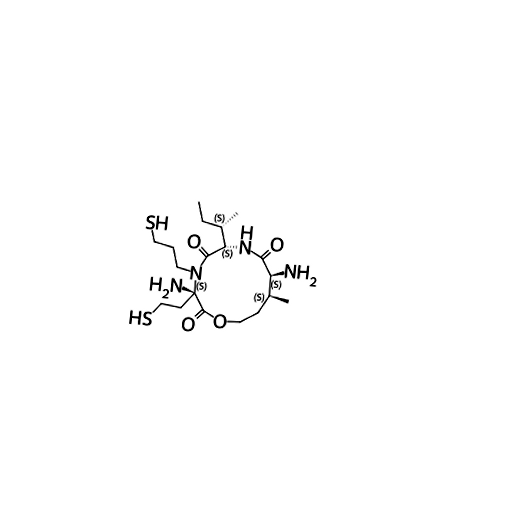 CC[C@H](C)[C@@H]1NC(=O)[C@@H](N)[C@@H](C)CCOC(=O)[C@](N)(CCS)N(CCCS)C1=O